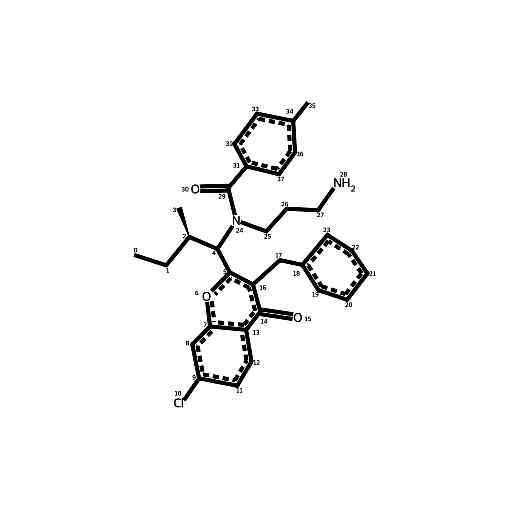 CC[C@@H](C)C(c1oc2cc(Cl)ccc2c(=O)c1Cc1ccccc1)N(CCCN)C(=O)c1ccc(C)cc1